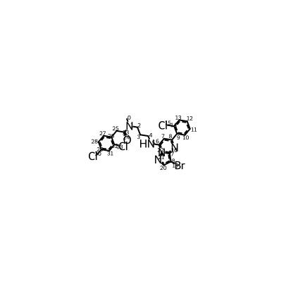 CN(CCCNc1cc(-c2ccccc2Cl)nc2c(Br)cnn12)C(=O)Cc1ccc(Cl)cc1Cl